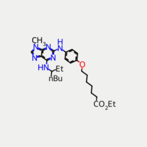 CCCCC(CC)Nc1nc(Nc2ccc(OCCCCCCC(=O)OCC)cc2)nc2c1ncn2C